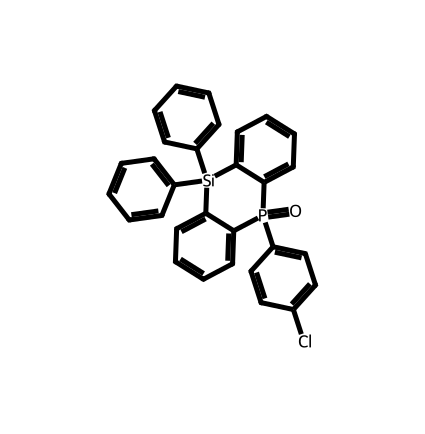 O=P1(c2ccc(Cl)cc2)c2ccccc2[Si](c2ccccc2)(c2ccccc2)c2ccccc21